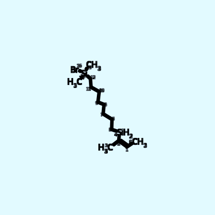 CC=C(C)[SiH2]CCCCCCCC[Si](C)(C)Br